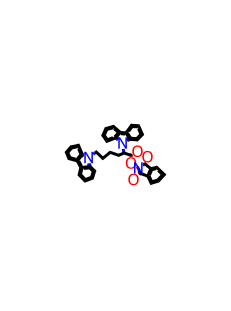 O=C(ON1C(=O)c2ccccc2C1=O)C(CCCCn1c2ccccc2c2ccccc21)n1c2ccccc2c2ccccc21